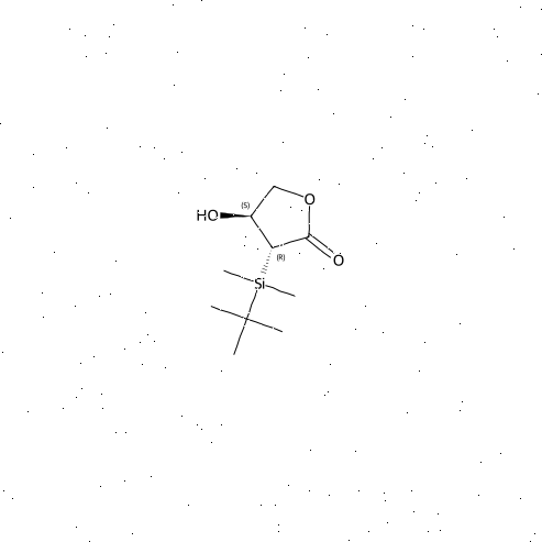 CC(C)(C)[Si](C)(C)[C@H]1C(=O)OC[C@@H]1O